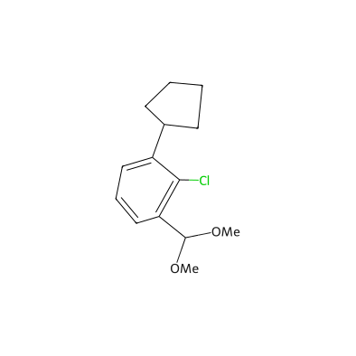 COC(OC)c1cccc(C2CCCC2)c1Cl